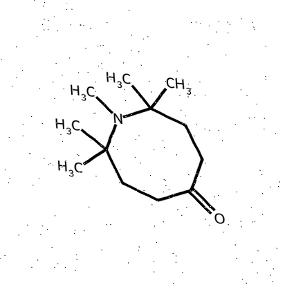 CN1C(C)(C)CCC(=O)CCC1(C)C